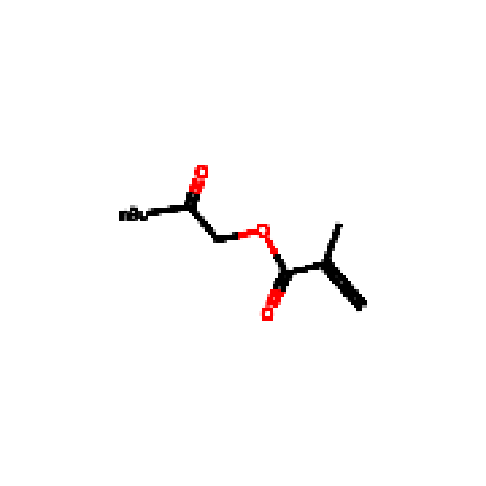 C=C(C)C(=O)OCC(=O)CCCC